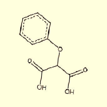 O=C(O)C(Oc1ccccc1)C(=O)O